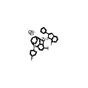 Fc1ccc(-p2c3ccc(cc3)c3cc4c(c(I)ccc42)[CH]3[Zr+2][CH]2C(c3ccccc3)=Cc3cccc(I)c32)cc1.[Cl-].[Cl-]